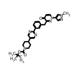 Cn1cc(-n2ccc(=O)c(Cc3cccc(-c4ncc(C5CCN(C(=O)OC(C)(C)C)CC5)cn4)c3)n2)cn1